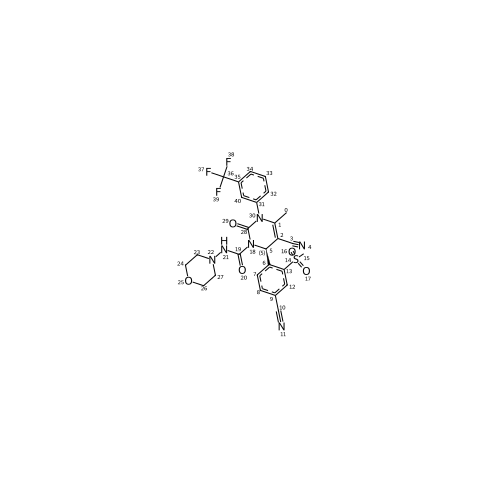 CC1=C(C#N)[C@@H](c2ccc(C#N)cc2S(C)(=O)=O)N(C(=O)NN2CCOCC2)C(=O)N1c1cccc(C(F)(F)F)c1